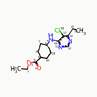 CCOC(=O)C1CCC(Nc2ncnc(CC)c2Cl)CC1